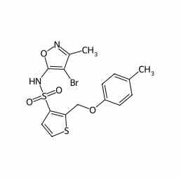 Cc1ccc(OCc2sccc2S(=O)(=O)Nc2onc(C)c2Br)cc1